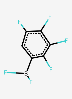 FB(F)c1cc(F)c(F)c(F)c1F